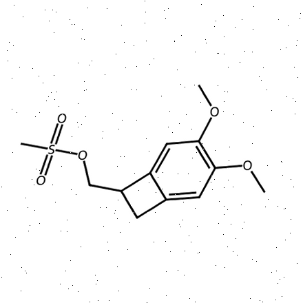 COc1cc2c(cc1OC)C(COS(C)(=O)=O)C2